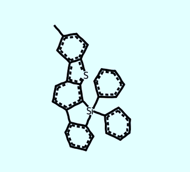 Cc1ccc2sc3c4c(ccc3c2c1)-c1ccccc1[Si]4(c1ccccc1)c1ccccc1